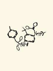 CCCN1C(=O)OC(C)(C)c2cc(NS(=O)(=O)Cc3ccc(C)cc3)ccc21